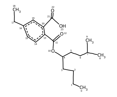 CCCCC(CCC(C)C)OC(=O)c1ccc(CC)cc1C(=O)O